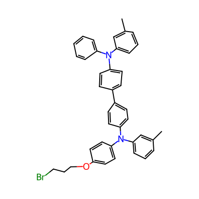 Cc1cccc(N(c2ccccc2)c2ccc(-c3ccc(N(c4ccc(OCCCBr)cc4)c4cccc(C)c4)cc3)cc2)c1